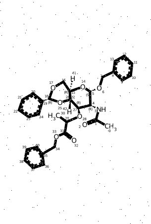 CC(=O)N[C@H]1[C@@H](OCc2ccccc2)O[C@@H]2CO[C@@H](c3ccccc3)O[C@H]2[C@@H]1OC(C)C(=O)OCc1ccccc1